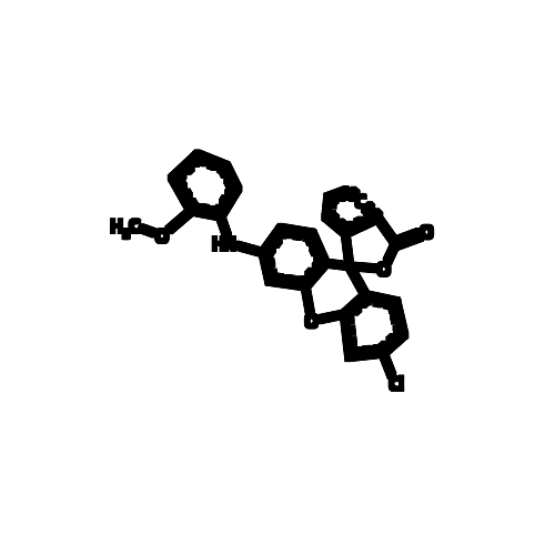 COc1ccccc1Nc1ccc2c(c1)Oc1cc(Cl)ccc1C21OC(=O)c2ccccc21